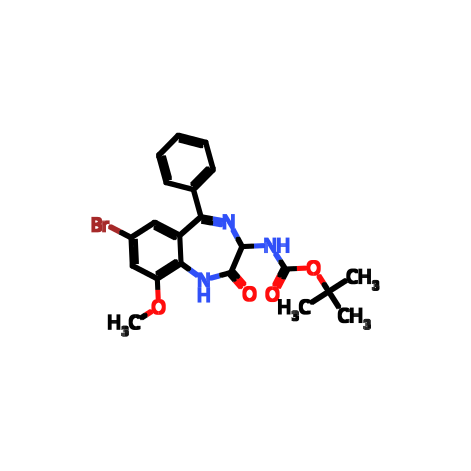 COc1cc(Br)cc2c1NC(=O)C(NC(=O)OC(C)(C)C)N=C2c1ccccc1